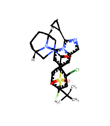 CC(C)(C)CS(=O)(=O)c1cc(N2[C@@H]3CC[C@H]2CN(C(=O)c2ccc(F)cc2Cl)C3)n2c(C3CC3)ncc2c1